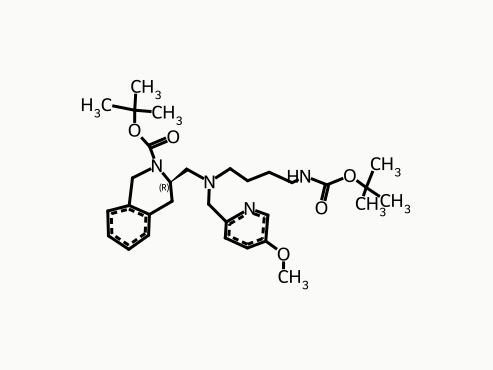 COc1ccc(CN(CCCCNC(=O)OC(C)(C)C)C[C@H]2Cc3ccccc3CN2C(=O)OC(C)(C)C)nc1